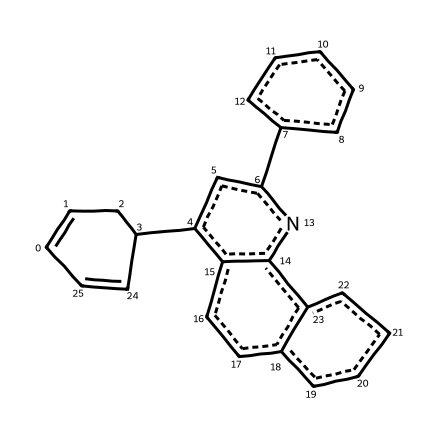 C1=CCC(c2cc(-c3ccccc3)nc3c2ccc2ccccc23)C=C1